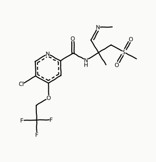 C/N=C\C(C)(CS(C)(=O)=O)NC(=O)c1cc(OCC(F)(F)F)c(Cl)cn1